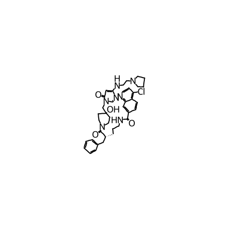 O=C(NCCC[C@H](Cc1ccccc1)C(=O)N1CCC(O)(Cn2cnc(NCCN3CCCC3)cc2=O)CC1)c1ccc2c(Cl)ccnc2c1